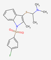 Cc1c(SC(C)N(C)C)c2ccccc2n1S(=O)(=O)c1ccc(F)cc1